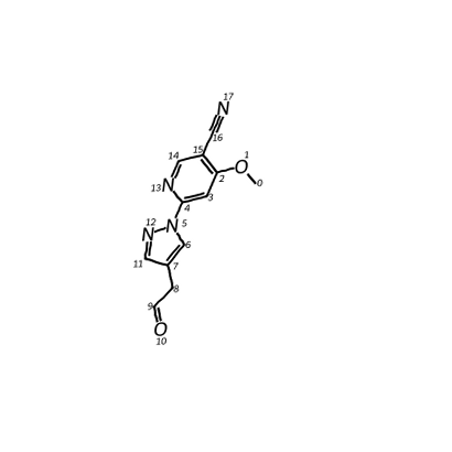 COc1cc(-n2cc(CC=O)cn2)ncc1C#N